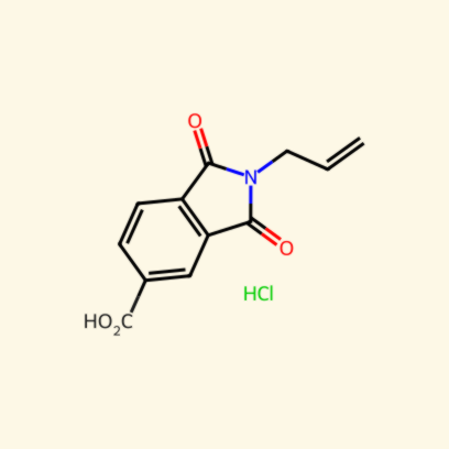 C=CCN1C(=O)c2ccc(C(=O)O)cc2C1=O.Cl